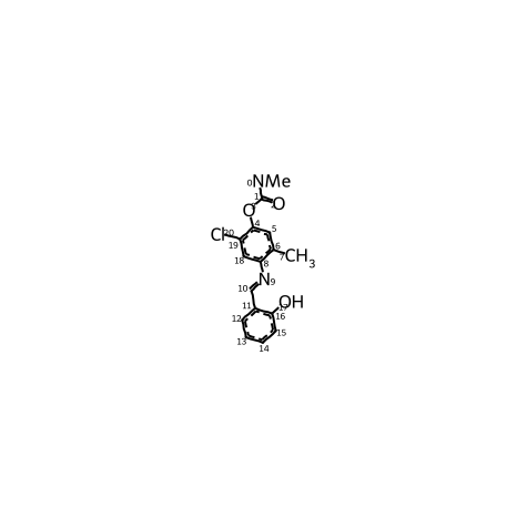 CNC(=O)Oc1cc(C)c(N=Cc2ccccc2O)cc1Cl